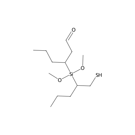 CCCC(CS)[Si](OC)(OC)C(CC=O)CCC